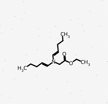 CCCC=CN(C=CCCC)CC(=O)OCC